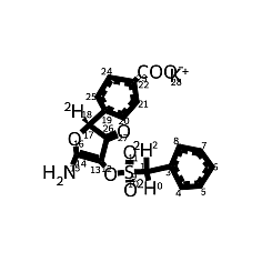 [2H]C([2H])(c1ccccc1)S(=O)(=O)OC1=C(N)O[C@]([2H])(c2ccc(C(=O)[O-])cc2)C1=O.[K+]